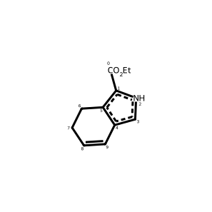 CCOC(=O)c1[nH]cc2c1CCC=C2